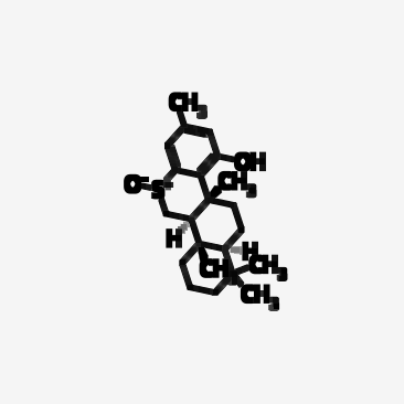 Cc1cc(O)c2c(c1)[S+]([O-])C[C@@H]1[C@@]3(C)CCCC(C)(C)[C@@H]3CC[C@@]21C